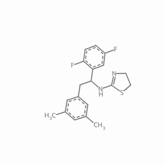 Cc1cc(C)cc(CC(NC2=NCCS2)c2cc(F)ccc2F)c1